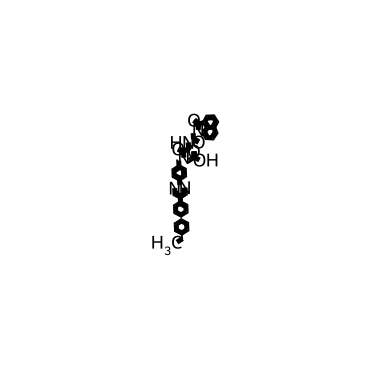 CC[C@H]1CC[C@H](C2CC=C(c3cnc(-c4ccc(CN(CC(=O)O)C(=O)CNC(=O)CN5C(=O)c6cccc7cccc5c67)cc4)nc3)CC2)CC1